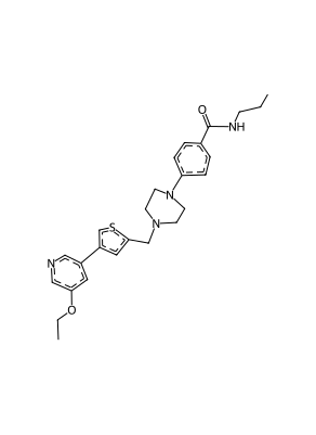 CCCNC(=O)c1ccc(N2CCN(Cc3cc(-c4cncc(OCC)c4)cs3)CC2)cc1